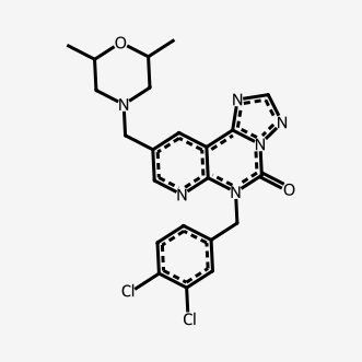 CC1CN(Cc2cnc3c(c2)c2ncnn2c(=O)n3Cc2ccc(Cl)c(Cl)c2)CC(C)O1